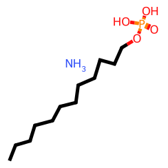 CCCCCCCCCCCCOP(=O)(O)O.N